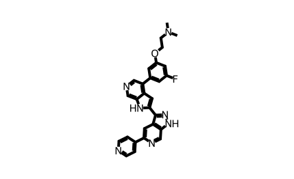 CN(C)CCOc1cc(F)cc(-c2cncc3[nH]c(-c4n[nH]c5cnc(-c6ccncc6)cc45)cc23)c1